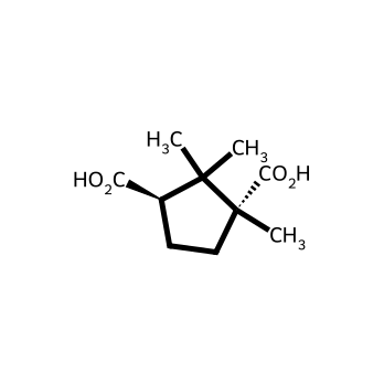 CC1(C)[C@H](C(=O)O)CC[C@@]1(C)C(=O)O